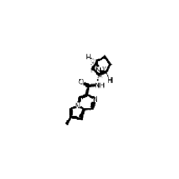 Cc1cc2cnc(C(=O)N[C@@H]3C[C@H]4CC[C@@H]3N4)cn2c1